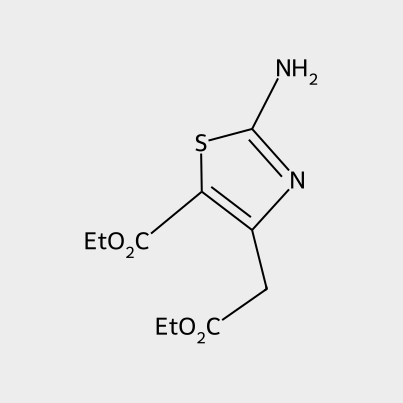 CCOC(=O)Cc1nc(N)sc1C(=O)OCC